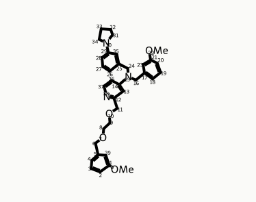 COc1cccc(COCCOCc2cc(N(Cc3cccc(OC)c3)Cc3cccc(N4CCCC4)c3)ccn2)c1